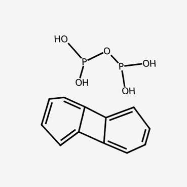 OP(O)OP(O)O.c1ccc2c(c1)-c1ccccc1-2